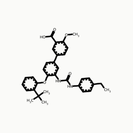 CCc1ccc(NC(=O)Nc2cc(-c3ccc(OC)c(C(=O)O)c3)ccc2Oc2ccccc2C(C)(C)C)cc1